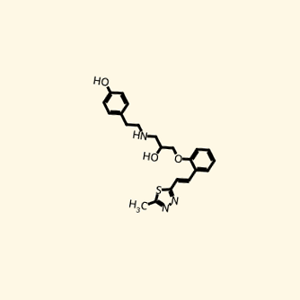 Cc1nnc(C=Cc2ccccc2OCC(O)CNCCc2ccc(O)cc2)s1